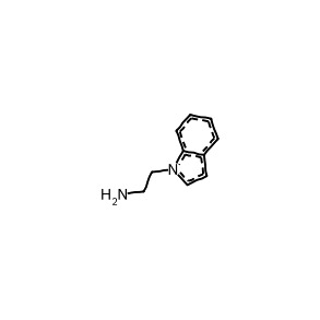 NCCn1ccc2ccccc21